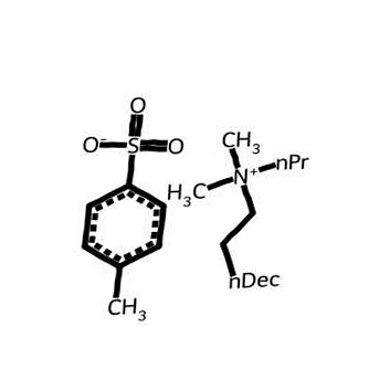 CCCCCCCCCCCC[N+](C)(C)CCC.Cc1ccc(S(=O)(=O)[O-])cc1